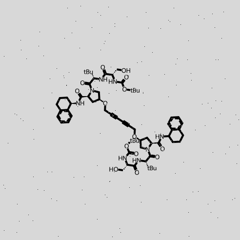 CC(C)(C)OC(=O)N[C@@H](CO)C(=O)N[C@H](C(=O)N1C[C@@H](OCC#CC#CCO[C@H]2C[C@@H](C(=O)N[C@@H]3CCCc4ccccc43)N(C(=O)[C@@H](NC(=O)[C@H](CO)NC(=O)OC(C)(C)C)C(C)(C)C)C2)C[C@H]1C(=O)NC1CCCc2ccccc21)C(C)(C)C